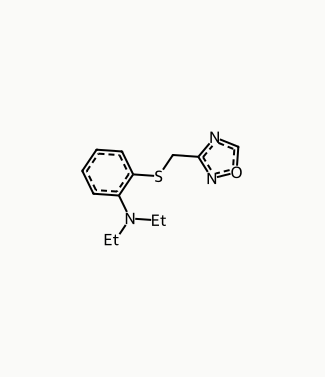 CCN(CC)c1ccccc1SCc1ncon1